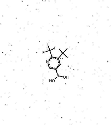 CC(C)(C)c1cc(B(O)O)cnc1C(F)(F)F